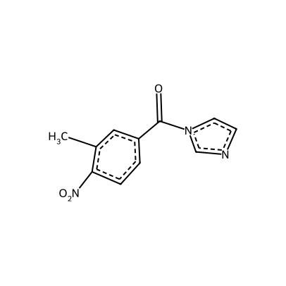 Cc1cc(C(=O)n2ccnc2)ccc1[N+](=O)[O-]